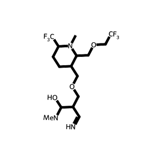 CNC(O)C(C=N)COCC1CCC(C(F)(F)F)N(C)C1COCC(F)(F)F